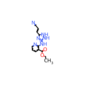 CCOC(=O)c1cccnc1NN1N=C(C=CC#N)NN1